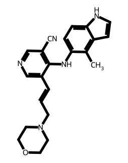 Cc1c(Nc2c(C#N)cncc2C=CCN2CCOCC2)ccc2[nH]ccc12